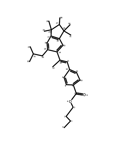 CCCCOC(=O)c1ccc(/C=C(\C)c2cc3c(cc2CC(C)C)C(C)(C)C(C)C3(C)C)cc1